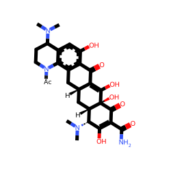 CC(=O)N1CCC(N(C)C)c2cc(O)c3c(c21)C[C@H]1C[C@H]2[C@@H](N(C)C)C(O)=C(C(N)=O)C(=O)[C@@]2(O)C(O)=C1C3=O